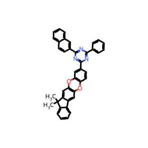 CC1(C)c2ccccc2-c2cc3c(cc21)Oc1cc(-c2nc(-c4ccccc4)nc(-c4ccc5ccccc5c4)n2)ccc1O3